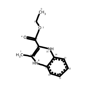 CCOC(=O)C1=C(C)Nc2ccccc2N1